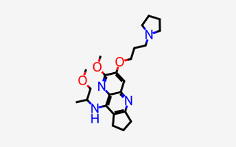 COCC(C)Nc1c2c(nc3cc(OCCCN4CCCC4)c(OC)nc13)CCC2